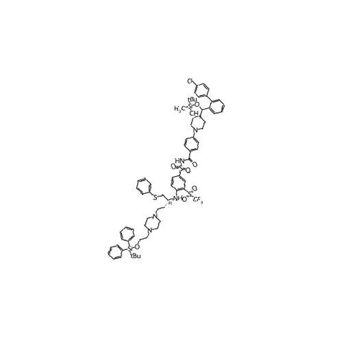 CC(C)(C)[Si](C)(C)OC(c1ccccc1-c1ccc(Cl)cc1)C1CCN(c2ccc(C(=O)NS(=O)(=O)c3ccc(N[C@H](CCN4CCN(CCO[Si](c5ccccc5)(c5ccccc5)C(C)(C)C)CC4)CSc4ccccc4)c(S(=O)(=O)C(F)(F)F)c3)cc2)CC1